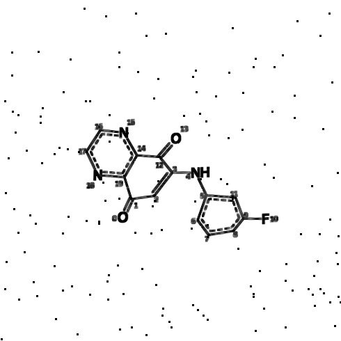 O=C1C=C(Nc2cccc(F)c2)C(=O)c2nccnc21